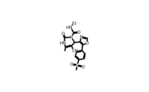 CCNC(=O)N1C(=O)NC(C)=C(C#N)C1c1ncoc1-c1ccc(S(C)(=O)=O)cc1